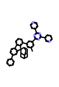 Cc1cc(-c2nc(-c3ccncc3)nc(-c3cccnc3)n2)cc(-c2cccc3c2C2(c4cc(-c5ccccc5)ccc4-3)C3CC4CC(C3)CC2C4)c1